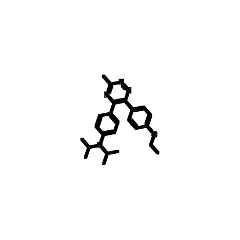 CCOc1ccc(-c2nnc(C)nc2-c2ccc(N(C(C)C)C(C)C)cc2)cc1